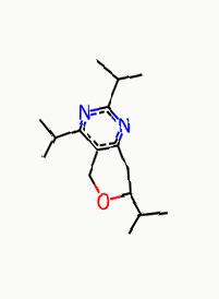 CC(C)c1nc2c(c(C(C)C)n1)COC(C(C)C)C2